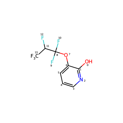 Oc1ncccc1OC(F)(F)C(F)C(F)(F)F